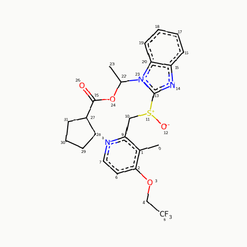 Cc1c(OCC(F)(F)F)ccnc1C[S+]([O-])c1nc2ccccc2n1C(C)OC(=O)C1CCCC1